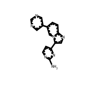 Nc1nccc(-c2cnc3ccc(-c4cncnc4)cn23)n1